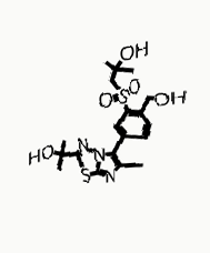 Cc1nc2sc(C(C)(C)O)nn2c1-c1ccc(CO)c(S(=O)(=O)CC(C)(C)O)c1